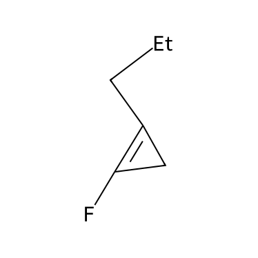 CCCC1=C(F)C1